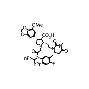 CCCC(CCC)N(C(=O)CN1C[C@H](c2cc(OC)c3c(c2)OCO3)[C@@H](C(=O)O)[C@@H]1CCN1CCC(=O)N(C)C1=O)c1ccc(F)c(C)c1